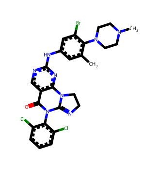 Cc1cc(Nc2ncc3c(n2)N2CCN=C2N(c2c(Cl)cccc2Cl)C3=O)cc(Br)c1N1CCN(C)CC1